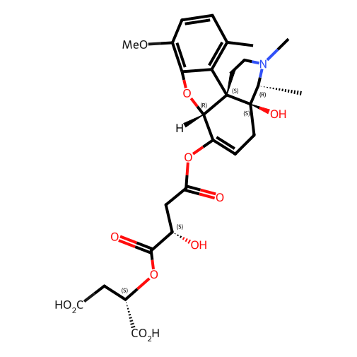 COc1ccc(C)c2c1O[C@H]1C(OC(=O)C[C@H](O)C(=O)O[C@@H](CC(=O)O)C(=O)O)=CC[C@@]3(O)[C@@H](C)N(C)CC[C@]213